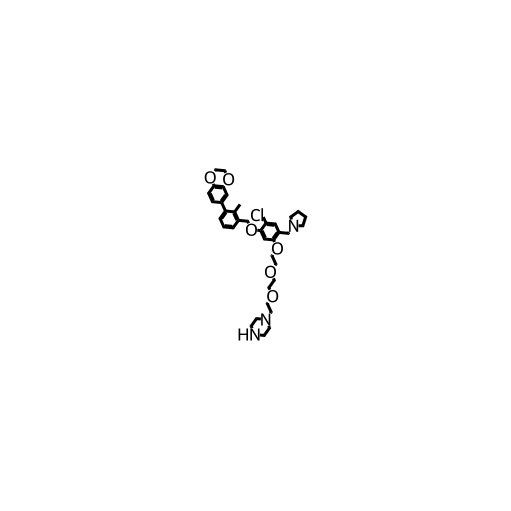 Cc1c(COc2cc(OCCOCCOCCN3CCNCC3)c(CN3CCCC3)cc2Cl)cccc1-c1ccc2c(c1)OCCO2